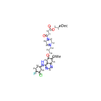 CCCCCCCCCCCCOC(=O)CCC(=O)N1CCN(CCCOc2cc3c(Nc4ccc(F)c(Cl)c4)ncnc3cc2OC)CC1